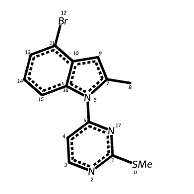 CSc1nccc(-n2c(C)cc3c(Br)cccc32)n1